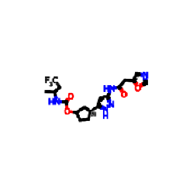 CC(CC(F)(F)F)NC(=O)OC1CC[C@H](c2cc(NC(=O)Cc3cnco3)n[nH]2)C1